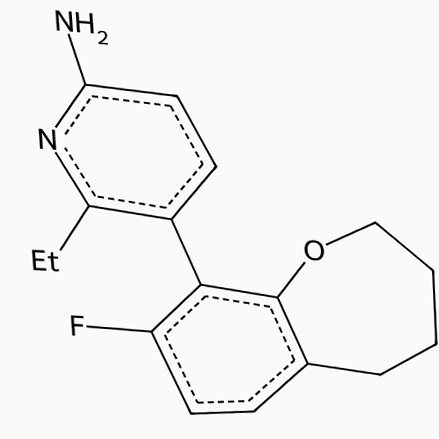 CCc1nc(N)ccc1-c1c(F)ccc2c1OCCCC2